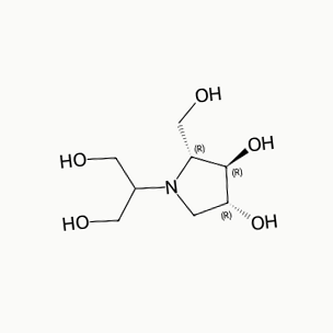 OCC(CO)N1C[C@@H](O)[C@H](O)[C@H]1CO